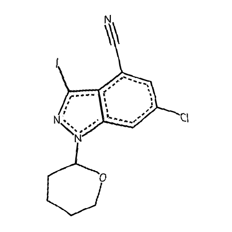 N#Cc1cc(Cl)cc2c1c(I)nn2C1CCCCO1